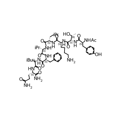 CC[C@H](C)[C@H](NC(=O)[C@H](Cc1ccccc1)NC(=O)[C@@H](NC(=O)[C@H](CC(C)C)NC(=O)[C@H](CCCCN)NC(=O)[C@@H](NC(=O)[C@H](Cc1ccc(O)cc1)NC(C)=O)[C@@H](C)O)C(C)C)C(=O)N[C@@H](CCC(N)=O)C(N)=O